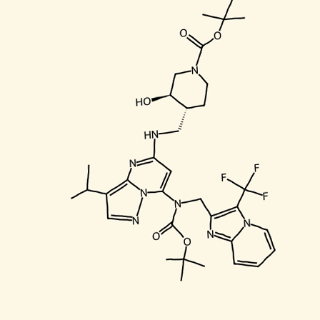 CC(C)c1cnn2c(N(Cc3nc4ccccn4c3C(F)(F)F)C(=O)OC(C)(C)C)cc(NC[C@H]3CCN(C(=O)OC(C)(C)C)C[C@@H]3O)nc12